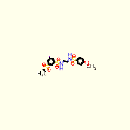 C[CH]S(=O)(=O)c1cc(I)cc(S(=O)(=O)NCCNS(=O)(=O)c2ccc(OC)cc2)c1